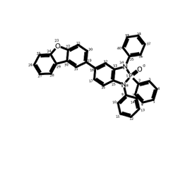 O=P1(c2ccccc2)N(c2ccccc2)c2ccc(-c3ccc4oc5ccccc5c4c3)cc2N1c1ccccc1